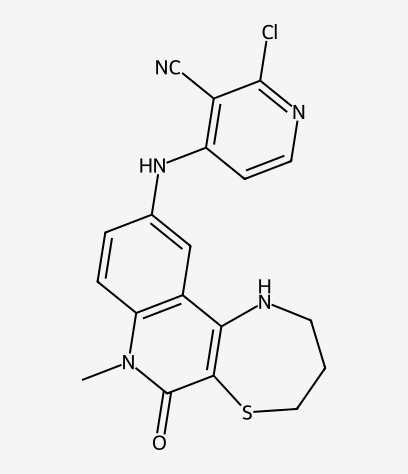 Cn1c(=O)c2c(c3cc(Nc4ccnc(Cl)c4C#N)ccc31)NCCCS2